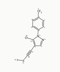 FC(F)(F)c1ccc(-n2ncc(C#CSI)c2Cl)cc1